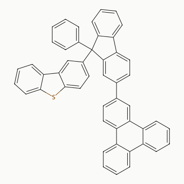 c1ccc(C2(c3ccc4sc5ccccc5c4c3)c3ccccc3-c3ccc(-c4ccc5c6ccccc6c6ccccc6c5c4)cc32)cc1